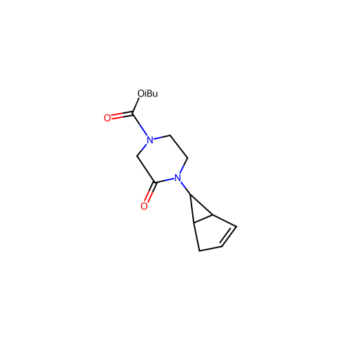 CC(C)COC(=O)N1CCN(C2C3C=CCC32)C(=O)C1